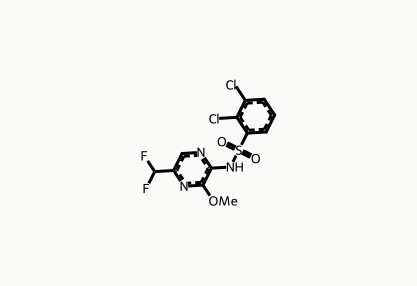 COc1nc(C(F)F)cnc1NS(=O)(=O)c1cccc(Cl)c1Cl